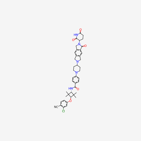 CC1(C)[C@H](NC(=O)c2ccc(N3CCC(N4Cc5cc6c(cc5C4)C(=O)N(C4CCC(=O)NC4=O)C6)CC3)cc2)C(C)(C)[C@H]1Oc1ccc(C#N)c(Cl)c1